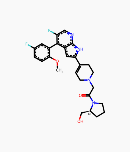 COc1ccc(F)cc1-c1c(F)cnc2[nH]c(C3=CCN(CC(=O)N4CCC[C@H]4CO)CC3)cc12